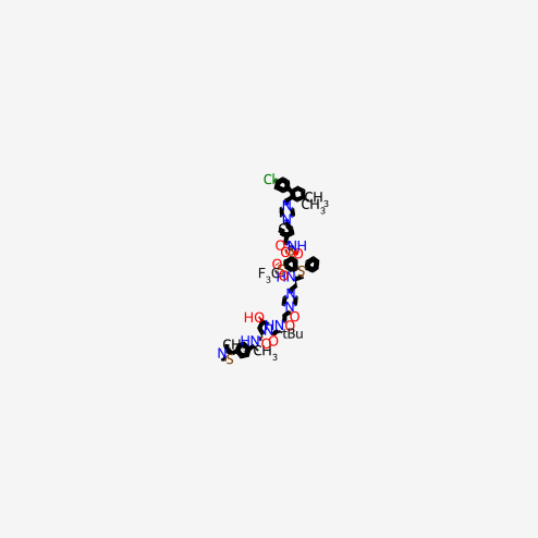 Cc1ncsc1-c1ccc([C@H](C)NC(=O)[C@@H]2C[C@@H](O)CN2C(=O)[C@@H](NC(=O)CC(=O)N2CCN(CC[C@H](CSc3ccccc3)Nc3ccc(S(=O)(=O)NC(=O)c4ccc(N5CCN(CC6=C(c7ccc(Cl)cc7)CCC(C)(C)C6)CC5)cc4)cc3S(=O)(=O)C(F)(F)F)CC2)C(C)(C)C)cc1